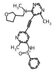 Cc1ncc(C#Cc2c(C)ncnc2N(C)CC2CCOC2)cc1N[S+]([O-])c1ccccc1